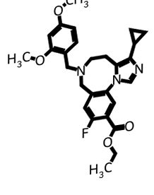 CCOC(=O)c1cc2c(cc1F)CN(Cc1ccc(OC)cc1OC)CCc1c(C3CC3)ncn1-2